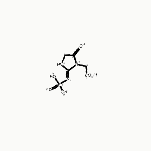 O=C(O)CN1C(=O)CNC1=NP(=O)(O)O